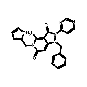 Cc1c2c(=O)n(-c3ccncn3)n(Cc3ccccc3)c2cc(=O)n1Cc1ccco1